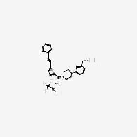 NCc1cccc(C2CCN(C(=O)c3ccc(C#Cc4ccccc4F)o3)CC2)c1.O=C(O)C(F)(F)F